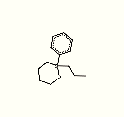 CCC[Si]1(c2ccccc2)CCCCO1